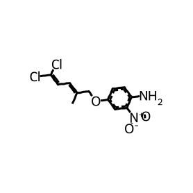 C/C(=C\C=C(Cl)Cl)COc1ccc(N)c([N+](=O)[O-])c1